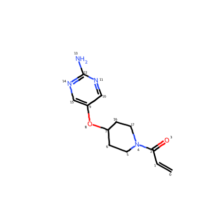 C=CC(=O)N1CCC(Oc2cnc(N)nc2)CC1